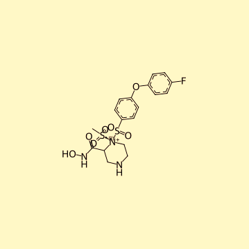 CS(=O)(=O)[N@@+]1(S(=O)(=O)c2ccc(Oc3ccc(F)cc3)cc2)CCNCC1C(=O)NO